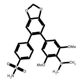 COc1cc(-c2cc3c(cc2-c2ccc(S(N)(=O)=O)cc2)OCO3)cc(OC)c1N(C)C